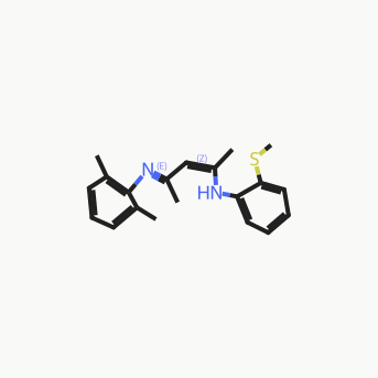 CSc1ccccc1N/C(C)=C\C(C)=N\c1c(C)cccc1C